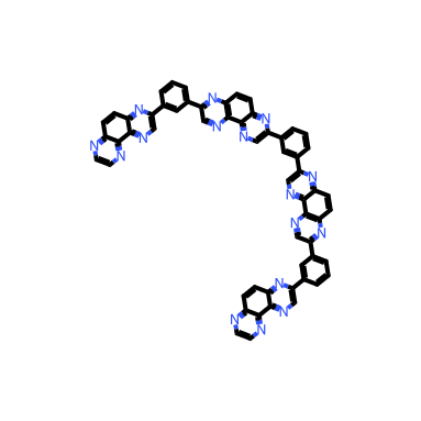 c1cc(-c2cnc3c(ccc4nccnc43)n2)cc(-c2cnc3c(ccc4nc(-c5cccc(-c6cnc7c(ccc8nc(-c9cccc(-c%10cnc%11c(ccc%12nccnc%12%11)n%10)c9)cnc87)n6)c5)cnc43)n2)c1